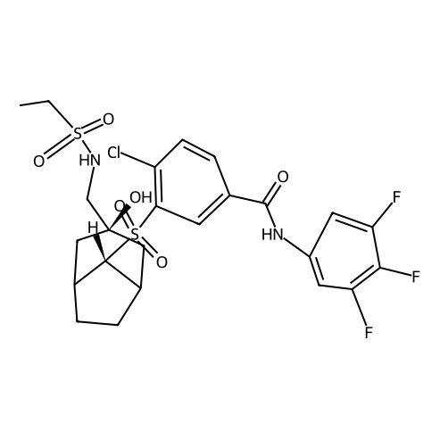 CCS(=O)(=O)NC[C@]1(O)CC2CCC(C1)[C@@H]2S(=O)(=O)c1cc(C(=O)Nc2cc(F)c(F)c(F)c2)ccc1Cl